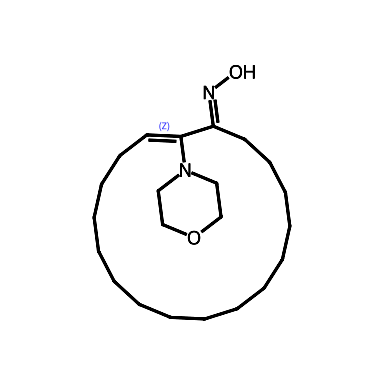 ON=C1CCCCCCCCCCCCCCC/C=C/1N1CCOCC1